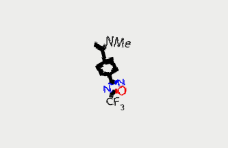 CNC(C)c1ccc(-c2noc(C(F)(F)F)n2)cc1